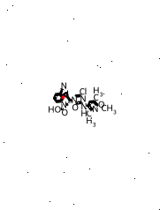 COc1nc(C)c(Nc2nc(Cl)cn([C@H](CN(C(=O)O)c3cccc(C#N)c3)C3CC3)c2=O)cc1C